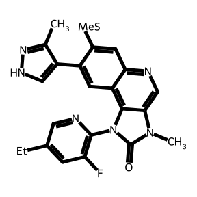 CCc1cnc(-n2c(=O)n(C)c3cnc4cc(SC)c(-c5c[nH]nc5C)cc4c32)c(F)c1